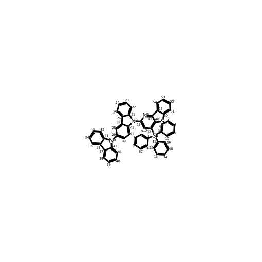 c1ccc([Si](c2ccccc2)(c2ccccc2)c2cc(-n3c4ccccc4c4cc(-n5c6ccccc6c6ccccc65)ccc43)nc3c2sc2ccccc23)cc1